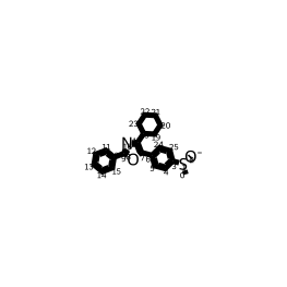 C[S+]([O-])c1ccc(-c2oc(-c3ccccc3)nc2C2CCCCC2)cc1